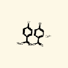 COC(=O)c1ccc([O-])cc1.COC(=O)c1ccc([O-])cc1.[Ca+2]